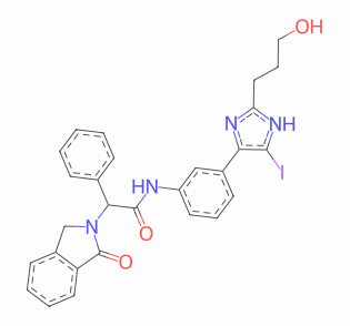 O=C(Nc1cccc(-c2nc(CCCO)[nH]c2I)c1)C(c1ccccc1)N1Cc2ccccc2C1=O